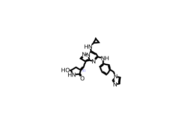 O=C1NC(O)C/C1=C\c1cnn2c(NC3CC3)cc(Nc3cccc(Cn4ccnc4)c3)nc12